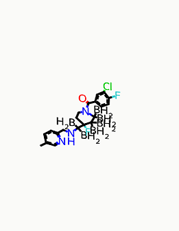 BC(B)(NCc1ccc(C)cn1)C1(F)CCN(C(=O)c2ccc(F)c(Cl)c2)C(B)(B)C1(B)B